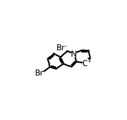 Brc1ccc2c(c1)C=C1[C+]=CC=CN1C2.[Br-]